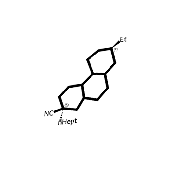 CCCCCCC[C@]1(C#N)CCC2C(CCC3C[C@H](CC)CCC32)C1